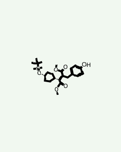 COC(=O)C(Cc1ccc(O)cc1)=C(C(=O)OC)[C@H]1CC[C@@H](O[Si](C)(C)C(C)(C)C)CC1